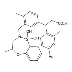 CC(=O)c1ccc(C(CC(=O)O)c2ccc(C)c(CN3CC(C)Oc4ccccc4S3(O)O)c2)c(C)c1